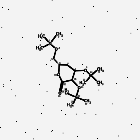 C[Si](C)(C)OC[C@@H]1CC(O[Si](C)(C)C)C(O[Si](C)(C)C)C(=O)O1